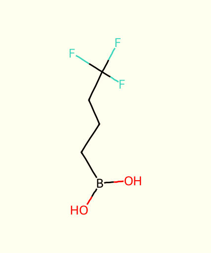 OB(O)CCCC(F)(F)F